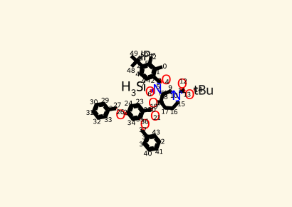 Cc1c(C(=O)N(O[SiH3])[C@@H]2CN(C(=O)OC(C)(C)C)CCC[C@H]2OC(=O)c2ccc(OCc3ccccc3)cc2OCc2ccccc2)ccc(C(C)(C)C(C)C)c1C